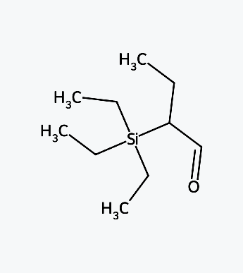 CCC(C=O)[Si](CC)(CC)CC